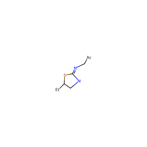 CCC1C[N]C(=NCC(C)=O)S1